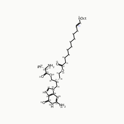 CCCCCCCC/C=C/CCCCCCCCCC(=O)OCC[C@@H](COC(=O)[C@@H](N)C(C)C)Cn1cnc2c(=O)[nH]c(N)nc21